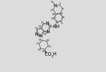 CN1CCc2ccc(Nc3ncc4cnn([C@H]5CC[C@H](C(=O)O)CC5)c4n3)cc2C1